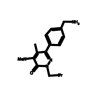 CNc1c(C)c(-c2ccc(CN)cc2)nn(CC(C)C)c1=O